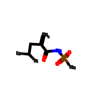 C=C(CC(CC)CC)C(=O)NS(=O)(=O)C(C)(C)C